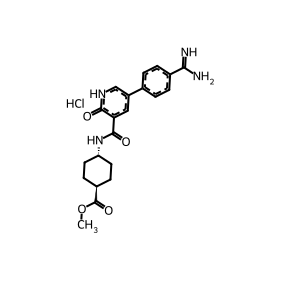 COC(=O)[C@H]1CC[C@H](NC(=O)c2cc(-c3ccc(C(=N)N)cc3)c[nH]c2=O)CC1.Cl